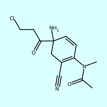 CC(=O)N(C)C1=C(C#N)CC(N)(C(=O)CCCl)C=C1